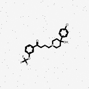 O=C(CCCN1CCC(O)(c2ccc(Cl)cc2)CC1)c1cccc(OC(F)(F)F)c1